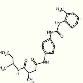 Cc1ccccc1NC(=O)Nc1ccc(NC(=O)CC(C)C(=O)NC(C)CC(=O)O)cc1